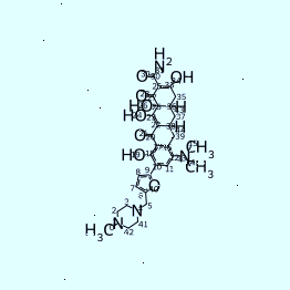 CN1CCN(Cc2ccc(-c3cc(N(C)C)c4c(c3O)C(=O)C3=C(O)[C@]5(O)C(=O)C(C(N)=O)=C(O)C[C@@H]5C[C@@H]3C4)o2)CC1